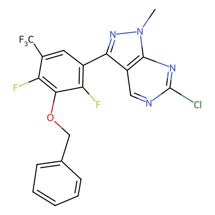 Cn1nc(-c2cc(C(F)(F)F)c(F)c(OCc3ccccc3)c2F)c2cnc(Cl)nc21